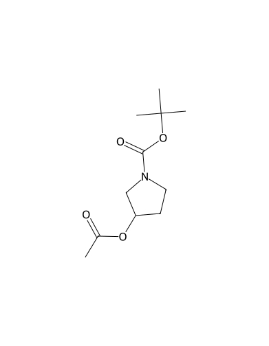 CC(=O)OC1CCN(C(=O)OC(C)(C)C)C1